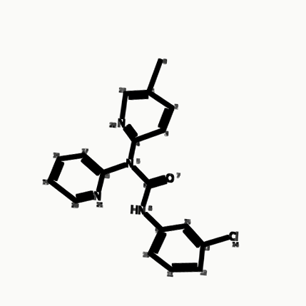 Cc1ccc(N(C(=O)Nc2cccc(Cl)c2)c2ccccn2)nc1